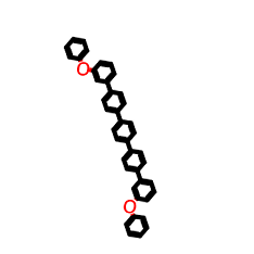 c1ccc(Oc2cccc(-c3ccc(-c4ccc(-c5ccc(-c6cccc(Oc7ccccc7)c6)cc5)cc4)cc3)c2)cc1